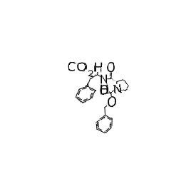 O=C(O)[C@H](Cc1ccccc1)NC(=O)[C@@H]1CCCN1C(=O)OCc1ccccc1